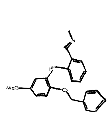 C/N=C/c1ccccc1Pc1cc(OC)ccc1OCc1ccccc1